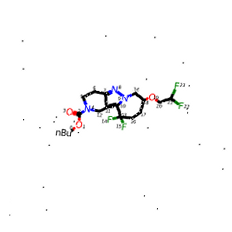 CCCCOC(=O)N1CCc2nn3c(c2C1)C(F)(F)CCC(OCC(F)F)C3